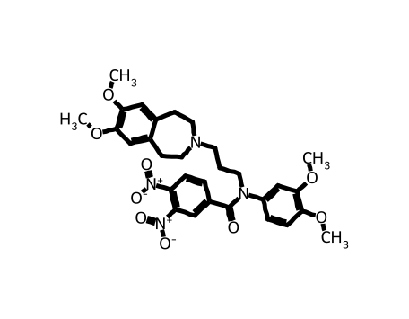 COc1ccc(N(CCCN2CCc3cc(OC)c(OC)cc3CC2)C(=O)c2ccc([N+](=O)[O-])c([N+](=O)[O-])c2)cc1OC